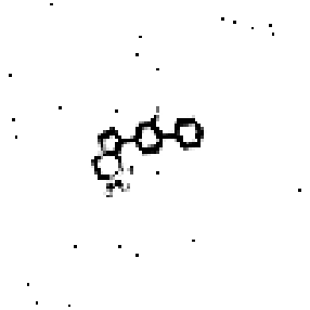 O=S1(=O)CCn2ccc(-c3ccc(-c4ccccc4)c(F)c3)c2N1